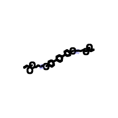 C=CC(=O)OCC/C=C/Oc1ccc(-c2ccc(-c3ccc(O/C=C/CCOC(=O)C=C)cc3)cc2)cc1